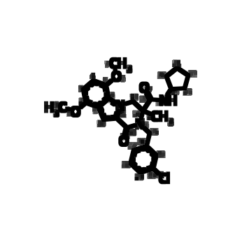 COc1ccc(OC)c2c1cc1n2CC(C)(C(=O)NC2CCCC2)N(Cc2cccc(Cl)c2)C1=O